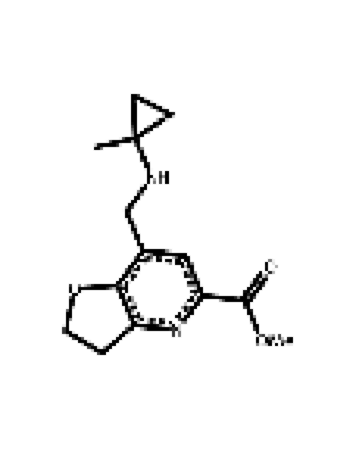 COC(=O)c1cc(CNC2(C)CC2)c2c(n1)CCO2